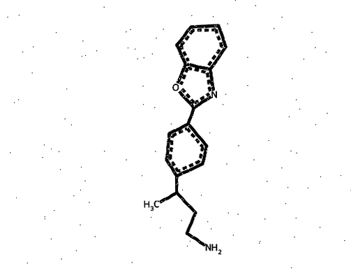 CC(CCN)c1ccc(-c2nc3ccccc3o2)cc1